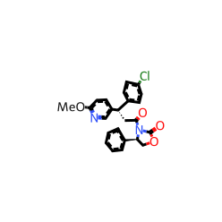 COc1ccc([C@@H](CC(=O)N2C(=O)OC[C@H]2c2ccccc2)c2ccc(Cl)cc2)cn1